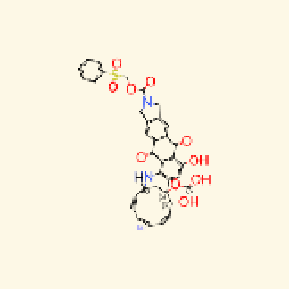 C[C@@H](O)O[C@]12C[C@H](C#C/C=C\C#C[C@H]1O)Nc1c2cc(O)c2c1C(=O)c1cc3c(cc1C2=O)CN(C(=O)OCS(=O)(=O)c1ccccc1)C3